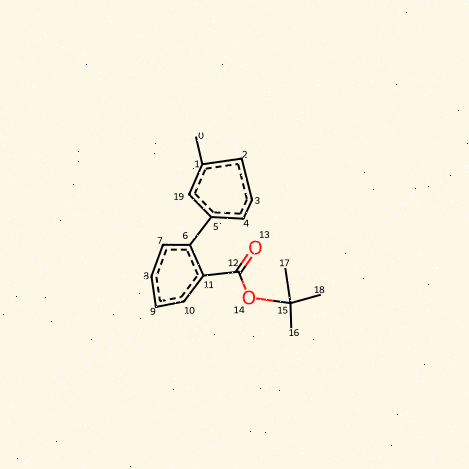 Cc1cccc(-c2ccccc2C(=O)OC(C)(C)C)c1